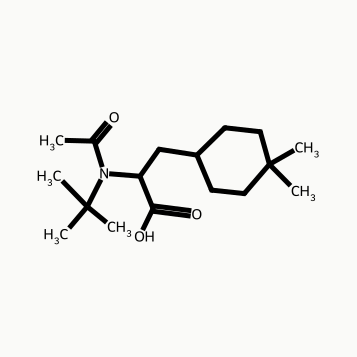 CC(=O)N(C(CC1CCC(C)(C)CC1)C(=O)O)C(C)(C)C